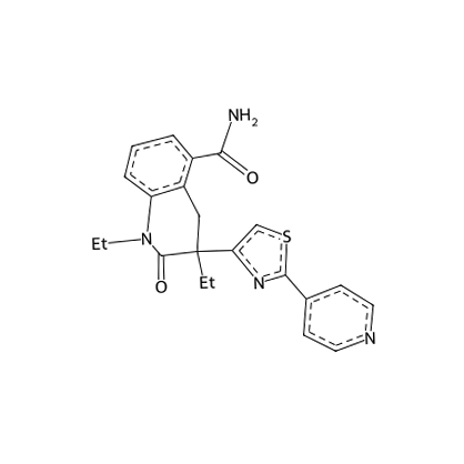 CCN1C(=O)C(CC)(c2csc(-c3ccncc3)n2)Cc2c(C(N)=O)cccc21